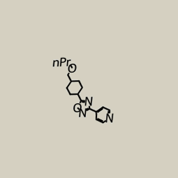 CCCOCC1CCC(c2nc(-c3ccncc3)no2)CC1